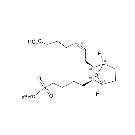 CCCCCS(=O)(=O)CCCC[C@H]1[C@@H](C/C=C\CCCC(=O)O)[C@H]2CC[C@@H]1O2